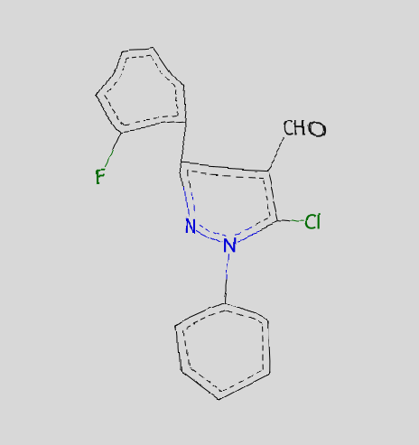 O=Cc1c(-c2ccccc2F)nn(-c2ccccc2)c1Cl